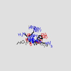 CC(C)[C@H](NC(=O)[C@H](CC(=O)O)NC(=O)[C@H](CCCCN)NC(=O)[C@@H](N)CCCNC(=N)N)C(=O)N[C@@H](Cc1ccc(O)cc1)C(=O)N[C@@H](CCCCN)C(=O)O